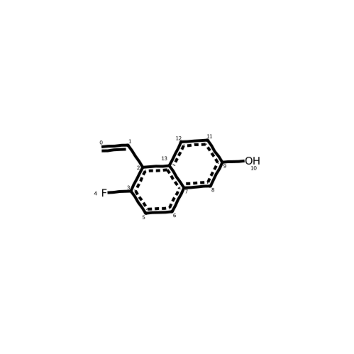 C=Cc1c(F)ccc2cc(O)ccc12